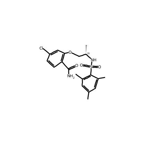 Cc1cc(C)c(S(=O)(=O)N[C@@H](C)COc2cc(Cl)ccc2C(N)=O)c(C)c1